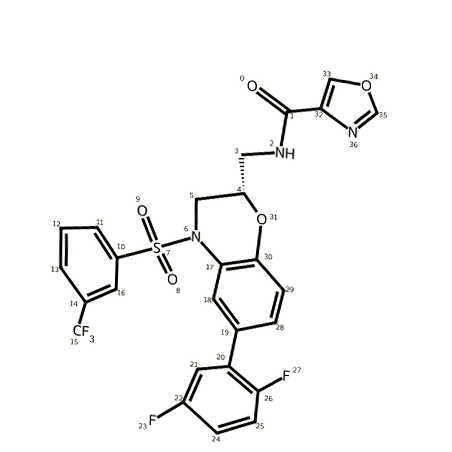 O=C(NC[C@H]1CN(S(=O)(=O)c2cccc(C(F)(F)F)c2)c2cc(-c3cc(F)ccc3F)ccc2O1)c1cocn1